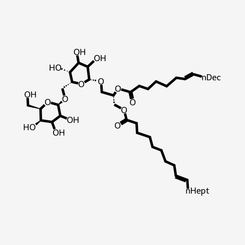 CCCCCCC/C=C/CCCCCCCC(=O)OC[C@H](CO[C@@H]1O[C@H](CO[C@@H]2O[C@H](CO)[C@H](O)C(O)C2O)[C@H](O)C(O)C1O)OC(=O)CCCCC/C=C/CCCCCCCCCC